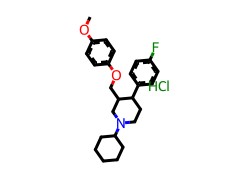 COc1ccc(OCC2CN(C3CCCCC3)CCC2c2ccc(F)cc2)cc1.Cl